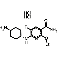 CCOc1nc(N[C@H]2CC[C@H](N)CC2)c(F)cc1C(N)=O.Cl.Cl